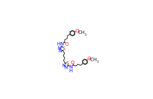 COc1ccc(CCCC(=O)Nc2nnc(CCCCc3nnc(NC(=O)CCCc4ccc(OC)cc4)s3)s2)cc1